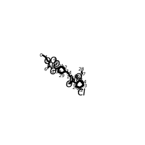 CCOC(=O)N(C)S(=O)(=O)c1ccc(CCNC(=O)c2cc(Cl)ccc2OCC)cc1